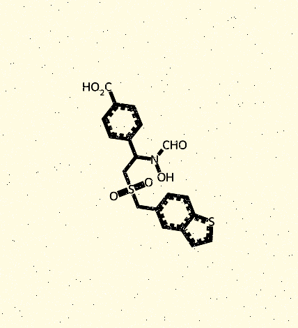 O=CN(O)C(CS(=O)(=O)Cc1ccc2sccc2c1)c1ccc(C(=O)O)cc1